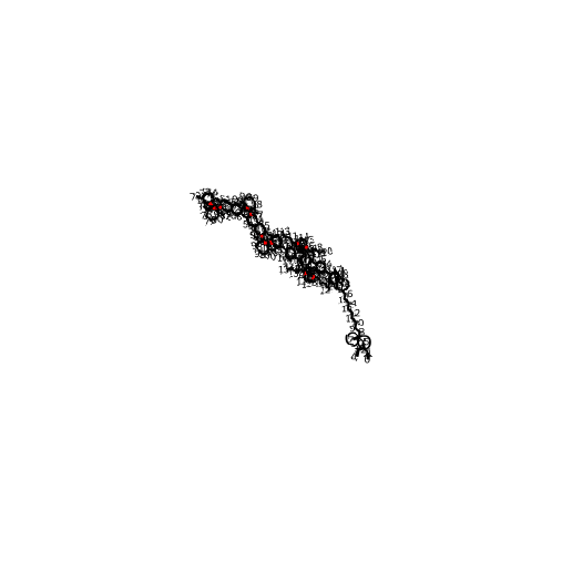 C=CC(C=C)OC(=O)CCCCCCCCCCOc1ncc(-c2ccc3c(c2)C2(c4nc5c(nc4-3)C3(c4cc(-c6ccc7c(c6)C6(c8cc9cc%10c(cc9cc8-7)C7(c8cc9cc%11c(cc9cc8-%10)C8(c9cc(C)ccc9-%11)C9(C)CCCC8(C)CCC9)C8(C)CCCC7(C)CCC8)C7(C)CCCC6(C)CCC7)ccc4-5)C4(CCCC)CCC3(CCCC)CC4)C3(CCCC)CCC2(CCCC)CC3)cn1